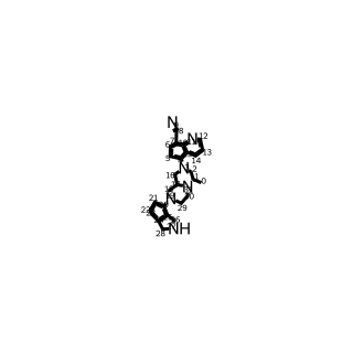 CC1CN(c2ccc(C#N)c3ncccc23)CC2CN(c3cccc4c3CNC4)CCN12